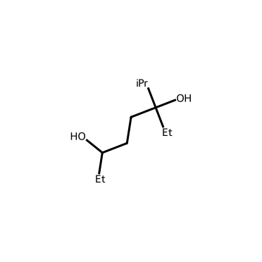 CCC(O)CCC(O)(CC)C(C)C